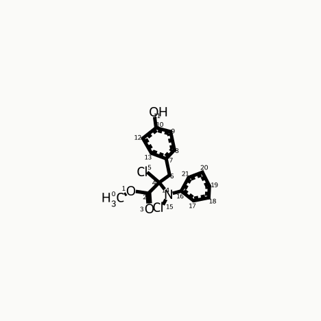 COC(=O)C(Cl)(Cc1ccc(O)cc1)N(Cl)c1ccccc1